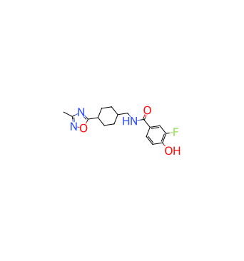 Cc1noc(C2CCC(CNC(=O)c3ccc(O)c(F)c3)CC2)n1